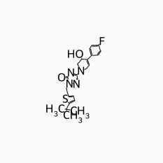 CC(C)(C)c1ccc(Cn2ncc(N3CC=C(c4ccc(F)cc4)[C@@H](O)C3)nc2=O)s1